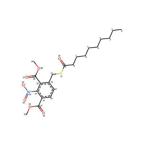 CCCCCCCCCC(=O)SCc1ccc(C(=O)OC)c([N+](=O)[O-])c1C(=O)OC